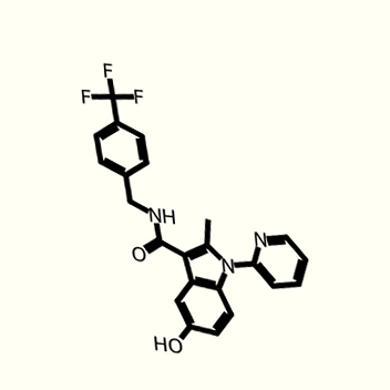 Cc1c(C(=O)NCc2ccc(C(F)(F)F)cc2)c2cc(O)ccc2n1-c1ccccn1